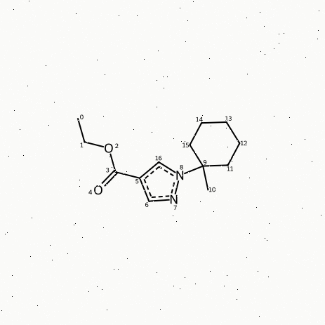 CCOC(=O)c1cnn(C2(C)CCCCC2)c1